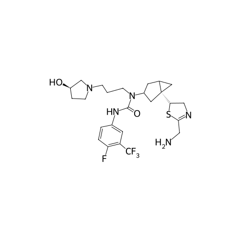 NCC1=NCC([C@]23CC(N(CCCN4CC[C@@H](O)C4)C(=O)Nc4ccc(F)c(C(F)(F)F)c4)CC2C3)S1